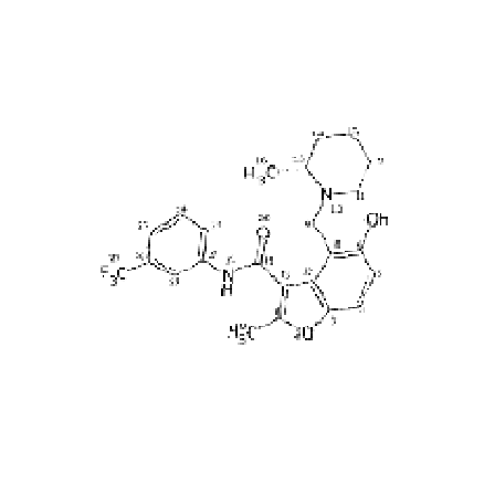 Cc1oc2ccc(O)c(CN3CCCC[C@H]3C)c2c1C(=O)Nc1cccc(C(F)(F)F)c1